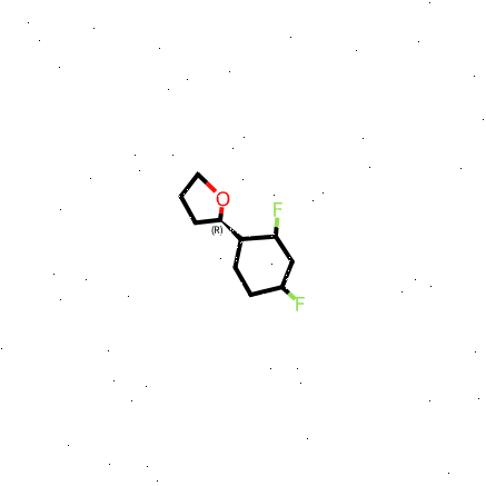 FC1CCC([C@H]2CCCO2)C(F)C1